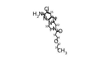 CCCOCCC(=O)N1CCn2c(nc3cc(Cl)c(N)nc32)C1